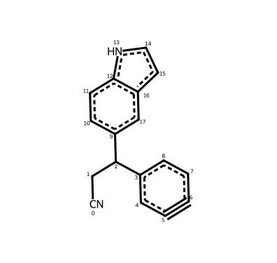 N#CCC(c1cc#ccc1)c1ccc2[nH]ccc2c1